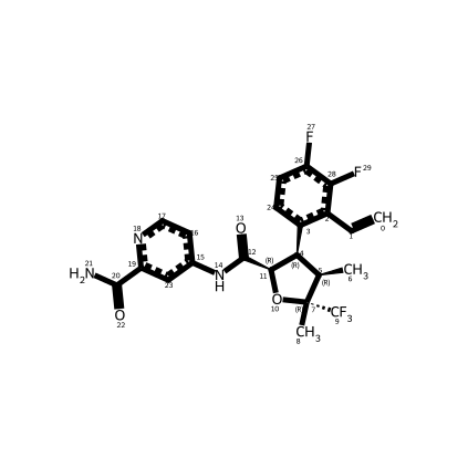 C=Cc1c([C@H]2[C@@H](C)[C@](C)(C(F)(F)F)O[C@H]2C(=O)Nc2ccnc(C(N)=O)c2)ccc(F)c1F